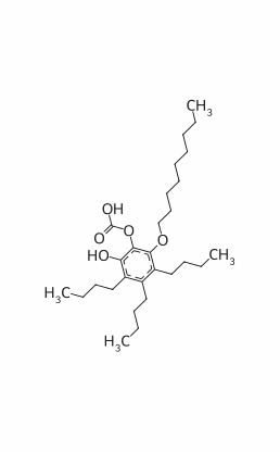 CCCCCCCCCOc1c(CCCC)c(CCCC)c(CCCC)c(O)c1OC(=O)O